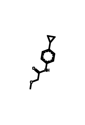 COCC(=O)Nc1ccc(C2CC2)cc1